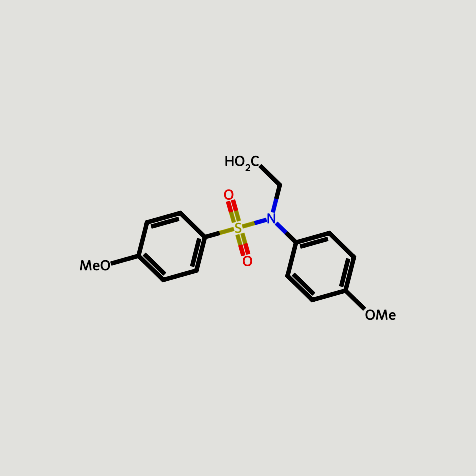 COc1ccc(N(CC(=O)O)S(=O)(=O)c2ccc(OC)cc2)cc1